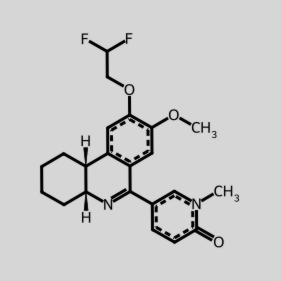 COc1cc2c(cc1OCC(F)F)[C@H]1CCCC[C@H]1N=C2c1ccc(=O)n(C)c1